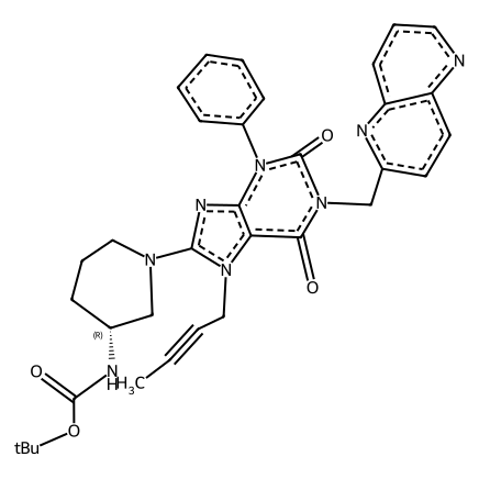 CC#CCn1c(N2CCC[C@@H](NC(=O)OC(C)(C)C)C2)nc2c1c(=O)n(Cc1ccc3ncccc3n1)c(=O)n2-c1ccccc1